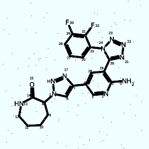 Nc1ncc(-c2cn(C3CCCCNC3=O)nn2)cc1-c1nnnn1-c1cccc(F)c1F